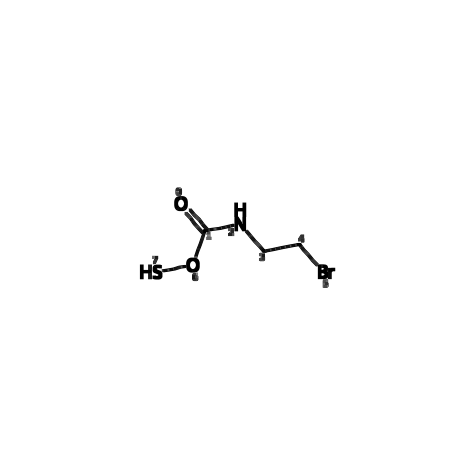 O=C(NCCBr)OS